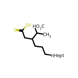 CCCCCCCCCCC(CC(=S)S)C(C)C(=O)O